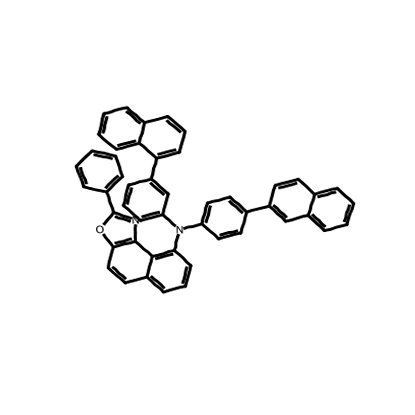 c1ccc(-c2nc3c(ccc4cccc(N(c5ccc(-c6ccc7ccccc7c6)cc5)c5cccc(-c6cccc7ccccc67)c5)c43)o2)cc1